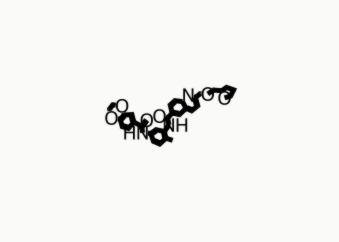 Cc1ccc(NC(=O)c2ccc3c(c2)OCCO3)cc1NC(=O)c1ccc2nc(COCC3CCCO3)ccc2c1